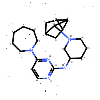 c1cc(N2CCCCCC2)nc(NC2CCCN(C3C4CC5C(C4)C53)C2)n1